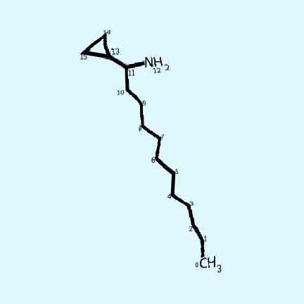 CCCCCCCCCCCC(N)C1CC1